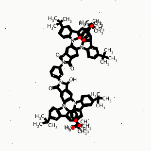 CC(C)(C)c1ccc2c(c1)c1cc(C(C)(C)C)ccc1n2-c1cc2c(cc1-n1c3ccc(C(C)(C)C)cc3c3cc(C(C)(C)C)ccc31)C(=O)N(c1cccc(N3C(=O)c4cc(-n5c6ccc(C(C)(C)C)cc6c6cc(C(C)(C)C)ccc65)c(-n5c6ccc(C(C)(C)C)cc6c6cc(C(C)(C)C)ccc65)cc4C3O)c1)C2=O